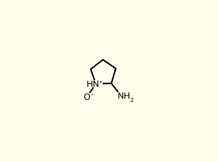 NC1CCC[NH+]1[O-]